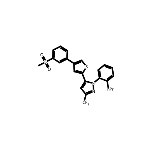 CCCc1ccccc1-n1nc(C(F)(F)F)cc1-c1cc(-c2cccc(S(C)(=O)=O)c2)cs1